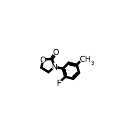 Cc1ccc(F)c(N2CCOC2=O)c1